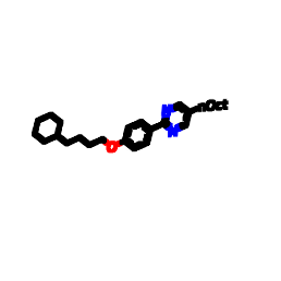 CCCCCCCCc1cnc(-c2ccc(OCCCCC3CCCCC3)cc2)nc1